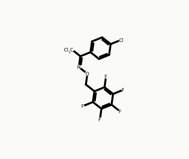 Fc1c(F)c(F)c(CON=C(c2ccc(Cl)cc2)C(Cl)(Cl)Cl)c(F)c1F